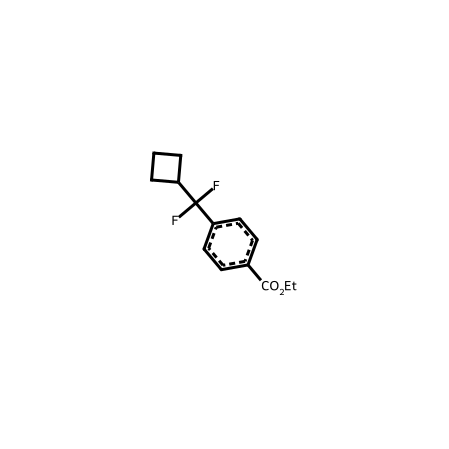 CCOC(=O)c1ccc(C(F)(F)C2CCC2)cc1